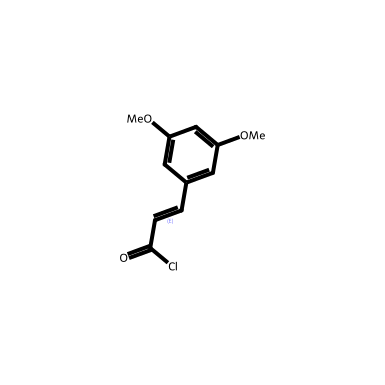 COc1cc(/C=C/C(=O)Cl)cc(OC)c1